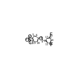 O=S(=O)(Cl)c1ccc(OCc2cc(F)cc(F)c2)cc1